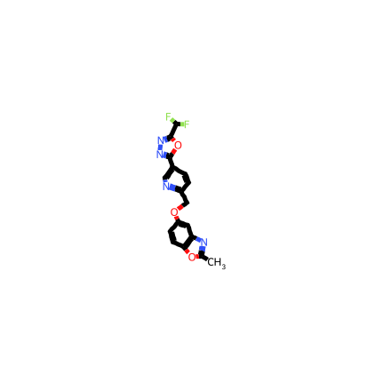 Cc1nc2cc(OCc3ccc(-c4nnc(C(F)F)o4)cn3)ccc2o1